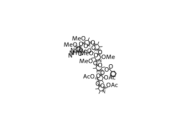 COCC1O[C@@H](O[C@H]2C(C)C(C)[C@@H](O[C@H]3C(C)C(OC)[C@H](O[C@H]4C5CO[C@H](O5)C(N=[N+]=[N-])[C@@H]4OC)O[C@H]3COC)O[C@H]2COC)C(OC)[C@@H](C)[C@@H]1O[C@@H]1OC(COC(=O)c2ccccc2)[C@@H](O[C@@H]2O[C@@H](COC(C)=O)[C@@H](O[C@H]3O[C@@H](COC(C)=O)[C@@H](C)C(C)C3C)C(C)C2OC(C)=O)[C@H](C)C1C